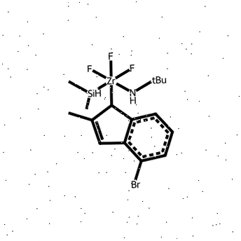 CC1=Cc2c(Br)cccc2[CH]1[Zr]([F])([F])([F])([NH]C(C)(C)C)[SiH](C)C